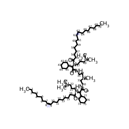 CCCCCCCC/C=C\CCCCCCCC(=O)N(CCCN(C)C)C(C(=O)NCCN(C)CCNC(=O)C(C1CCCCC1)N(CCCN(C)C)C(=O)CCCCCCC/C=C\CCCCCCCC)C1CCCCC1